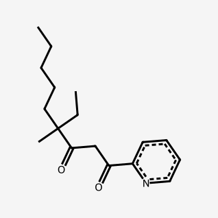 CCCCCC(C)(CC)C(=O)CC(=O)c1ccccn1